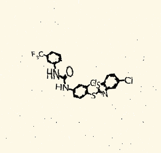 O=C(Nc1cccc(C(F)(F)F)c1)Nc1ccc(Sc2nc3cc(Cl)ccc3s2)c(Cl)c1